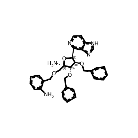 Nc1ccccc1COC[C@@]1(N)O[C@@H](c2nccc3[nH]cnc23)[C@@H](OCc2ccccc2)[C@@H]1OCc1ccccc1